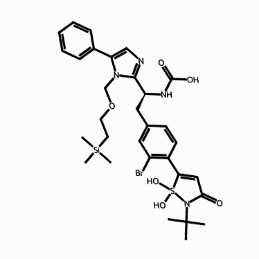 CC(C)(C)N1C(=O)C=C(c2ccc(C[C@H](NC(=O)O)c3ncc(-c4ccccc4)n3COCC[Si](C)(C)C)cc2Br)S1(O)O